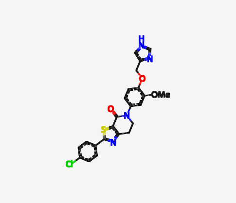 COc1cc(N2CCc3nc(-c4ccc(Cl)cc4)sc3C2=O)ccc1OCc1c[nH]cn1